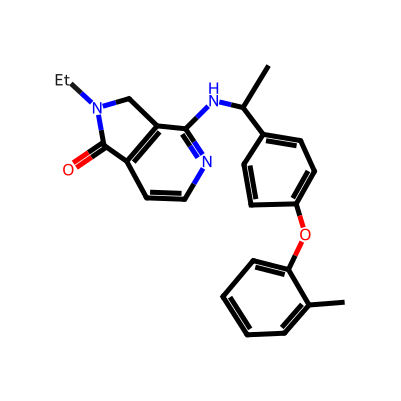 CCN1Cc2c(ccnc2NC(C)c2ccc(Oc3ccccc3C)cc2)C1=O